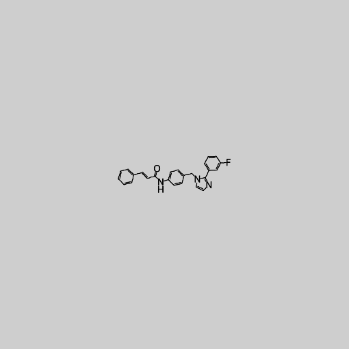 O=C(C=Cc1ccccc1)Nc1ccc(Cn2ccnc2-c2cccc(F)c2)cc1